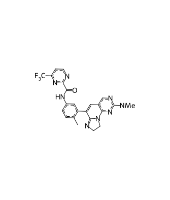 CNc1ncc2c(n1)N1CCN=C1C(c1cc(NC(=O)c3nccc(C(F)(F)F)n3)ccc1C)=C2